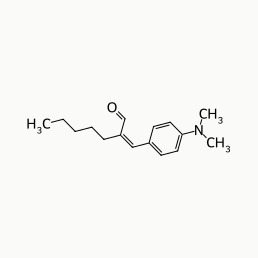 CCCCCC(C=O)=Cc1ccc(N(C)C)cc1